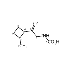 CC1CCC1C(=O)CNC(=O)O